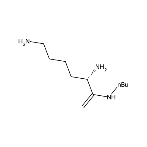 C=C(NCCCC)[C@@H](N)CCCCN